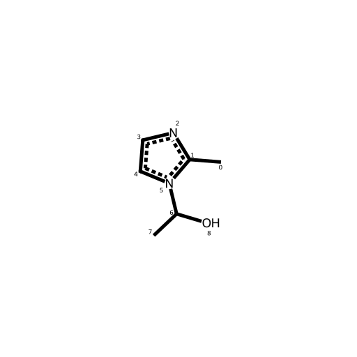 Cc1nccn1C(C)O